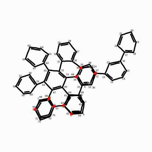 c1ccc(-c2cccc(-c3nc(-c4cccc(-c5ccccc5)c4)nc(-c4ccccc4-c4c(-c5ccccc5)c(-c5ccccc5)c(-c5ccccc5)c(-c5ccccc5)c4-c4ccccc4)n3)c2)cc1